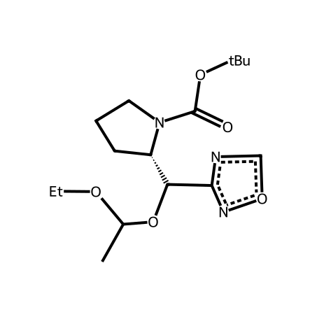 CCOC(C)OC(c1ncon1)[C@@H]1CCCN1C(=O)OC(C)(C)C